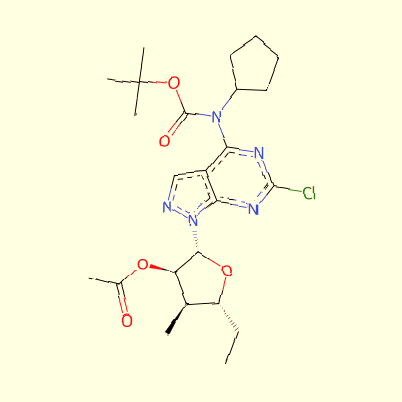 CC[C@H]1O[C@@H](n2ncc3c(N(C(=O)OC(C)(C)C)C4CCCC4)nc(Cl)nc32)[C@H](OC(C)=O)[C@@H]1C